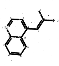 [CH2]/C(F)=C\c1ccnc2ccccc12